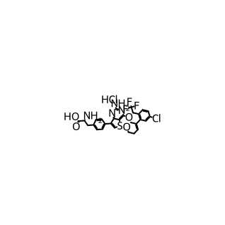 Cl.Nc1nc(O[C@H](c2ccc(Cl)cc2C2=CCCOC2)C(F)(F)F)c2scc(-c3ccc(C[C@H](N)C(=O)O)cc3)c2n1